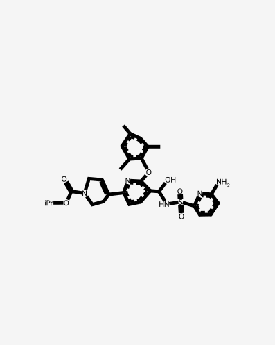 Cc1cc(C)c(Oc2nc(C3=CCN(C(=O)OC(C)C)CC3)ccc2C(O)NS(=O)(=O)c2cccc(N)n2)c(C)c1